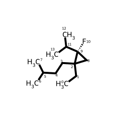 CCC1(CCC(C)C)C[C@]1(F)C(C)C